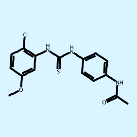 COc1ccc(Cl)c(NC(=S)Nc2ccc(NC(C)=O)cc2)c1